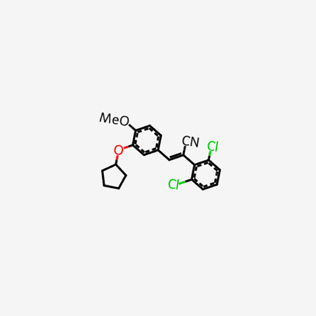 COc1ccc(C=C(C#N)c2c(Cl)cccc2Cl)cc1OC1CCCC1